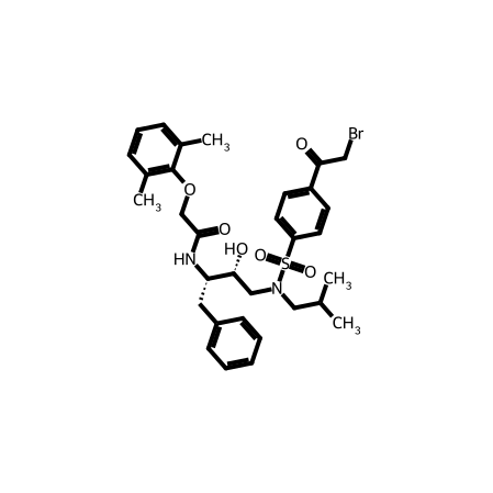 Cc1cccc(C)c1OCC(=O)N[C@@H](Cc1ccccc1)[C@H](O)CN(CC(C)C)S(=O)(=O)c1ccc(C(=O)CBr)cc1